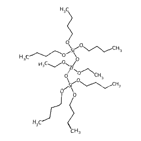 CCCCO[Si](OCCCC)(OCCCC)[O][Zr]([O]CC)([O]CC)[O][Si](OCCCC)(OCCCC)OCCCC